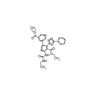 CCNC(=O)Nc1ncc(-c2cncc(C(=O)OCC)c2)c(-c2nnc(-c3ccccc3)o2)c1C(=O)OCC